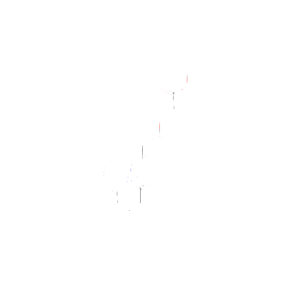 COC(=O)COCC=CCN1C(=O)CCC[C@@H]1CO